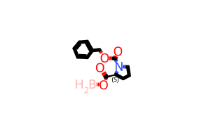 BOC(=O)[C@@H]1CCCN1C(=O)OCc1ccccc1